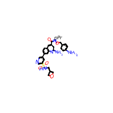 CCCN(OCc1ccc(N)cc1)C(=O)C1=Cc2ccc(-c3cncc(S(=O)(=O)NCC4COC4)c3)cc2N=C(N)C1